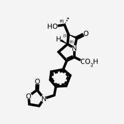 C[C@@H](O)[C@H]1C(=O)N2C(C(=O)O)=C(c3ccc(CN4CCOC4=O)cc3)C[C@H]12